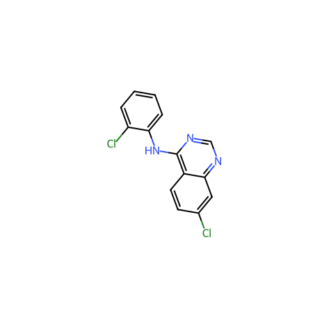 Clc1ccc2c(Nc3ccccc3Cl)ncnc2c1